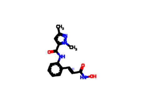 Cc1cc(C(=O)Nc2ccccc2/C=C/C(=O)NO)n(C)n1